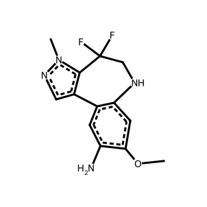 COc1cc2c(cc1N)-c1cnn(C)c1C(F)(F)CN2